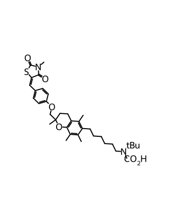 Cc1c(C)c2c(c(C)c1CCCCCCN(C(=O)O)C(C)(C)C)CCC(C)(COc1ccc(/C=C3/SC(=O)N(C)C3=O)cc1)O2